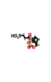 O=C(CCS(=O)(=O)O)OC1C2CC3C1OS(=O)(=O)C3C2